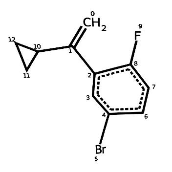 C=C(c1cc(Br)ccc1F)C1CC1